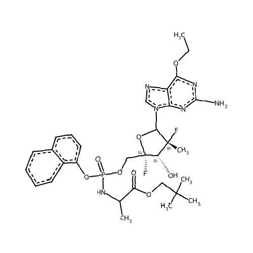 CCOc1nc(N)nc2c1ncn2C1O[C@](F)(COP(=O)(NC(C)C(=O)OCC(C)(C)C)Oc2cccc3ccccc23)[C@@H](O)[C@@]1(C)F